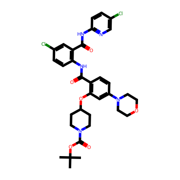 CC(C)(C)OC(=O)N1CCC(Oc2cc(N3CCOCC3)ccc2C(=O)Nc2ccc(Cl)cc2C(=O)Nc2ccc(Cl)cn2)CC1